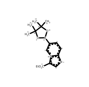 CCOC(=O)c1cnc2ccc(B3OC(C)(C)C(C)(C)O3)cn12